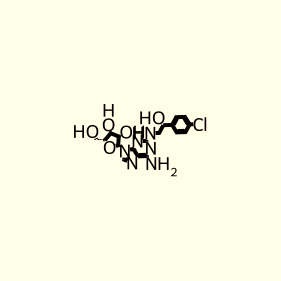 Nc1nc(NCC(O)c2ccc(Cl)cc2)nc2c1ncn2[C@@H]1O[C@H](CO)[C@@H](O)[C@H]1O